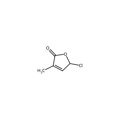 CC1=CC(Cl)OC1=O